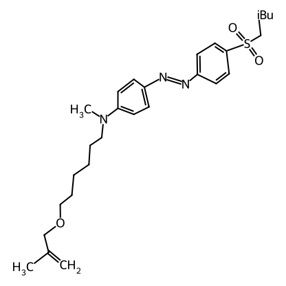 C=C(C)COCCCCCCN(C)c1ccc(/N=N/c2ccc(S(=O)(=O)CC(C)CC)cc2)cc1